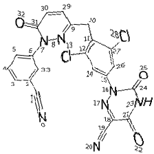 N#Cc1cccc(-n2nc(Cc3c(Cl)cc(-n4nc(C#N)c(=O)[nH]c4=O)cc3Cl)ccc2=O)c1